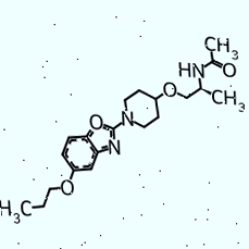 CCCOc1ccc2oc(N3CCC(OC[C@H](C)NC(C)=O)CC3)nc2c1